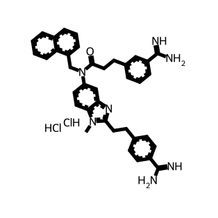 Cl.Cl.Cn1c(CCc2ccc(C(=N)N)cc2)nc2cc(N(Cc3cccc4ccccc34)C(=O)CCc3cccc(C(=N)N)c3)ccc21